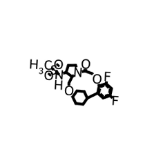 CS(=O)(=O)NC1CCN2C(=O)COc3c(F)cc(F)cc3C3CCC(CC3)OCC12